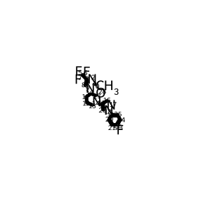 Cc1nc(C(F)(F)F)cn1C1CCCN(c2cnn(-c3ccc(F)cc3)c2)C1=O